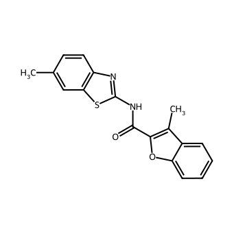 Cc1ccc2nc(NC(=O)c3oc4ccccc4c3C)sc2c1